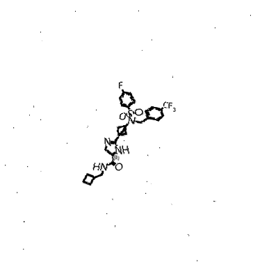 O=C(NCC1CCC1)[C@H]1CN=C(C23CC(N(Cc4ccc(C(F)(F)F)cc4)S(=O)(=O)c4ccc(F)cc4)(C2)C3)N1